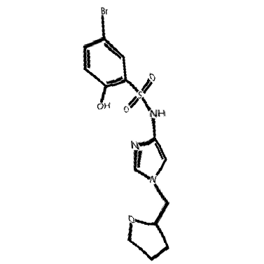 O=S(=O)(Nc1cn(CC2CCCO2)cn1)c1cc(Br)ccc1O